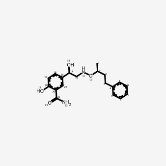 CC(CCc1ccccc1)ONCC(O)c1ccc(O)c(C(N)=O)c1